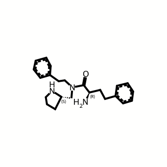 N[C@H](CCc1ccccc1)C(=O)N(CCc1ccccc1)C[C@@H]1CCCN1